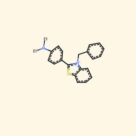 CCN(CC)c1ccc(-c2sc3ccccc3[n+]2Cc2ccccc2)cc1